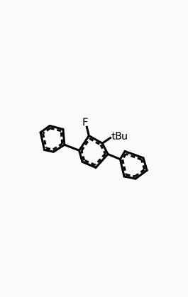 CC(C)(C)c1c(-c2ccccc2)ccc(-c2ccccc2)c1F